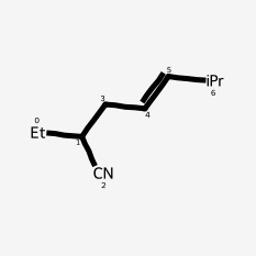 CCC(C#N)CC=CC(C)C